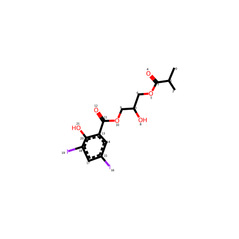 CC(C)C(=O)OCC(O)COC(=O)c1cc(I)cc(I)c1O